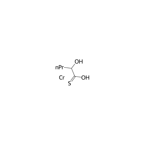 CCCC(O)C(O)=S.[Cr]